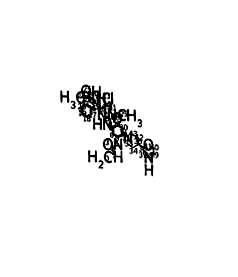 C=CC(=O)Nc1cc(Nc2ncc(Cl)c(Nc3ccccc3P(C)(C)=O)n2)c(OC)cc1N1CCC(C2CNCCO2)CC1